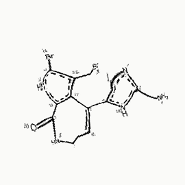 Nc1ncc(C2=CCNC(=O)c3[nH]c(Br)c(Br)c32)[nH]1